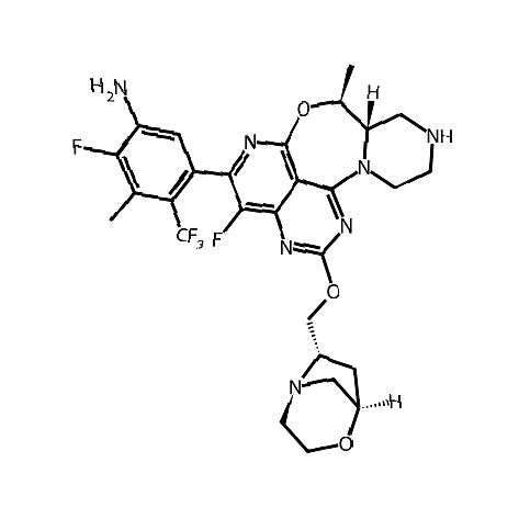 Cc1c(F)c(N)cc(-c2nc3c4c(nc(OC[C@@H]5C[C@@H]6C[N@@]5CCO6)nc4c2F)N2CCNC[C@H]2[C@H](C)O3)c1C(F)(F)F